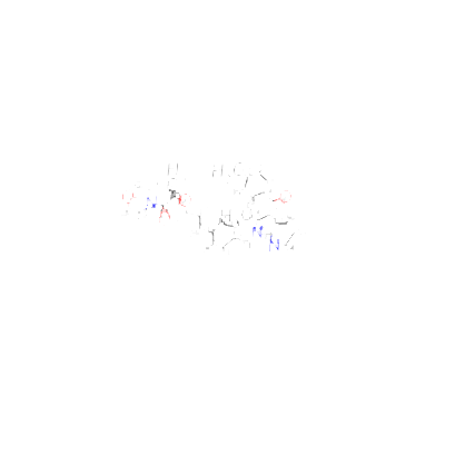 Cc1ccc(C(=O)c2c(C)n(Cc3ccc(C=CCO[C@H](C)C(=O)N4CCOCC4)cc3)c3ncccc23)cc1